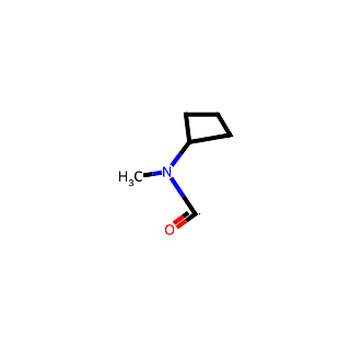 CN([C]=O)C1CCC1